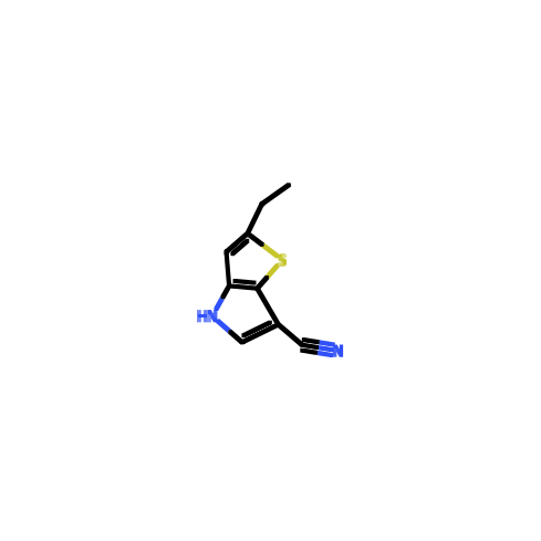 CCc1cc2[nH]cc(C#N)c2s1